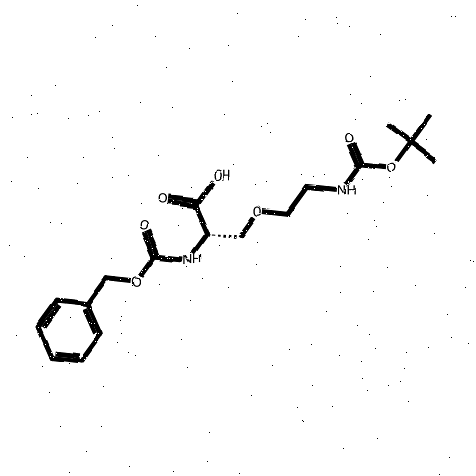 CC(C)(C)OC(=O)NCCOC[C@H](NC(=O)OCc1ccccc1)C(=O)O